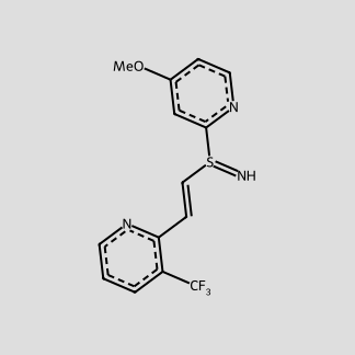 COc1ccnc(S(=N)/C=C/c2ncccc2C(F)(F)F)c1